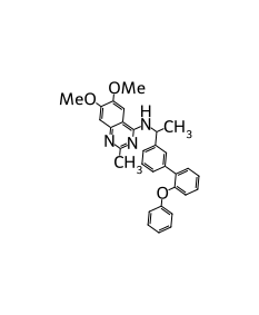 COc1cc2nc(C)nc(NC(C)c3cccc(-c4ccccc4Oc4ccccc4)c3)c2cc1OC